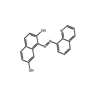 Oc1ccc2ccc(O)c(/N=N/c3cccc4cccnc34)c2c1